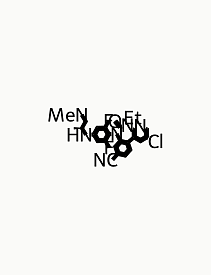 CCN1C(=O)N(c2c(F)cc(N[C@@H](C)CNC)cc2F)c2cc(C#N)ccc2-c2cc(Cl)cnc21